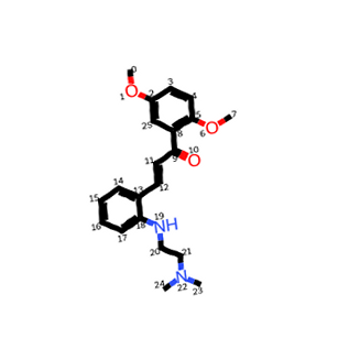 COc1ccc(OC)c(C(=O)C=Cc2ccccc2NCCN(C)C)c1